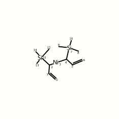 C=C[CH]([Ni][CH](C=C)[Si](C)(C)C)[Si](C)(C)C